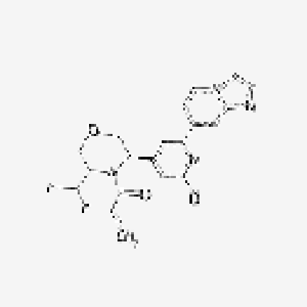 C=CC(=O)N1C(C(F)F)COC[C@H]1c1cc(Cl)nc(-c2ccn3ccnc3c2)c1